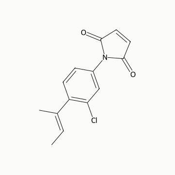 CC=C(C)c1ccc(N2C(=O)C=CC2=O)cc1Cl